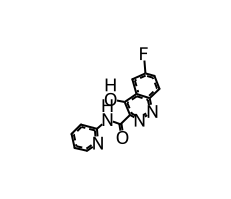 O=C(Nc1ccccn1)c1nnc2ccc(F)cc2c1O